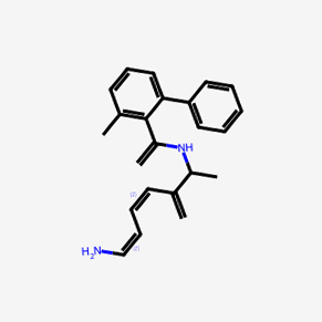 C=C(NC(C)C(=C)/C=C\C=C/N)c1c(C)cccc1-c1ccccc1